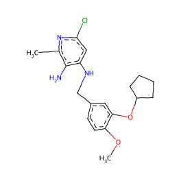 COc1ccc(CNc2cc(Cl)nc(C)c2N)cc1OC1CCCC1